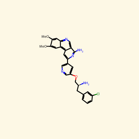 COc1cc2ncc3c(N)nc(-c4cncc(OC[C@@H](N)Cc5cccc(Cl)c5)c4)cc3c2cc1OC